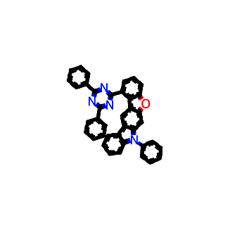 c1ccc(-c2nc(-c3ccccc3)nc(-c3cccc4oc5cc6c(cc5c34)c3ccccc3n6-c3ccccc3)n2)cc1